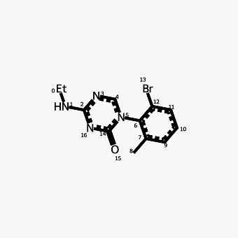 CCNc1ncn(-c2c(C)cccc2Br)c(=O)n1